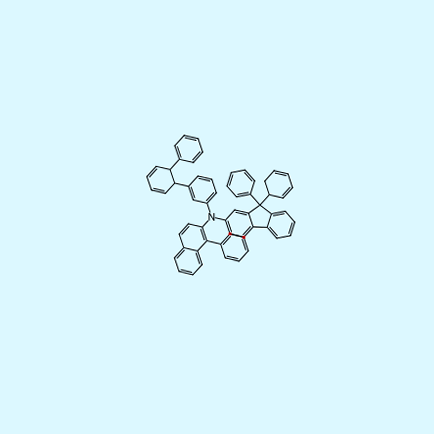 C1=CCC(C2(c3ccccc3)c3ccccc3-c3ccc(N(c4cccc(C5C=CC=CC5c5ccccc5)c4)c4ccc5ccccc5c4-c4ccccc4)cc32)C=C1